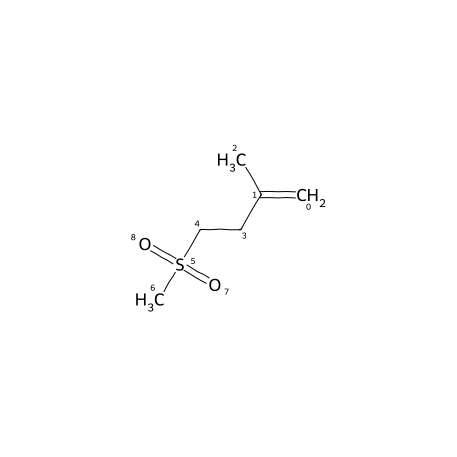 C=C(C)CCS(C)(=O)=O